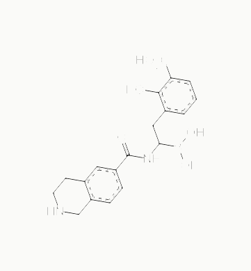 O=C(NC(Cc1cccc(C(=O)O)c1O)B(O)O)c1ccc2c(c1)CCNC2